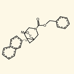 COCC12CN(C(=O)OCc3ccccc3)CC[C@]1(c1ccc3ccccc3c1)C2